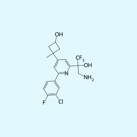 CC1(c2cc(-c3ccc(F)c(Cl)c3)nc(C(O)(CN)C(F)(F)F)c2)CC(O)C1